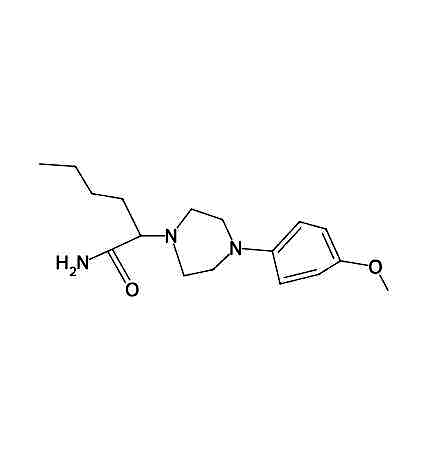 CCCCC(C(N)=O)N1CCN(c2ccc(OC)cc2)CC1